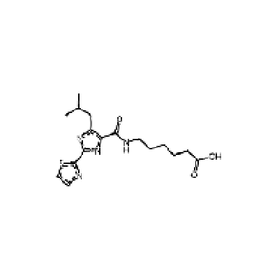 CC(C)Cc1sc(-c2nccs2)nc1C(=O)NCCCCCC(=O)O